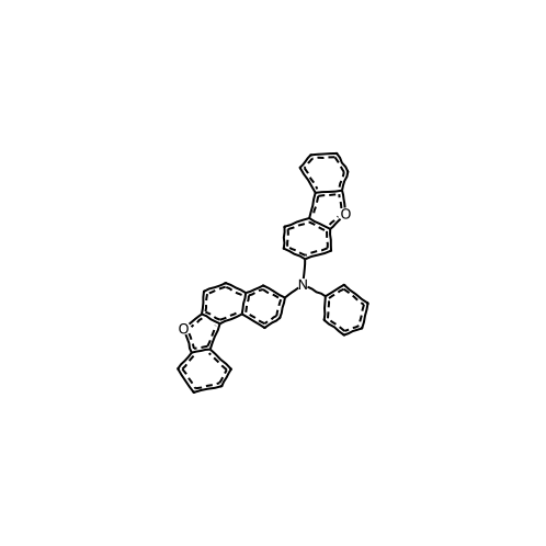 c1ccc(N(c2ccc3c(ccc4oc5ccccc5c43)c2)c2ccc3c(c2)oc2ccccc23)cc1